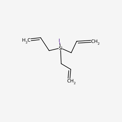 C=CC[Si](I)(CC=C)CC=C